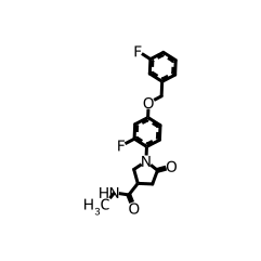 CNC(=O)C1CC(=O)N(c2ccc(OCc3cccc(F)c3)cc2F)C1